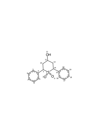 O=S1(=O)C(c2ccccc2)CC(O)CC1c1ccccc1